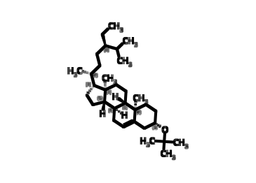 CC[C@H](CC[C@@H](C)[C@H]1CC[C@H]2[C@@H]3CC=C4C[C@@H](OC(C)(C)C)CC[C@]4(C)[C@H]3CC[C@]12C)C(C)C